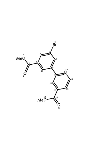 COC(=O)c1cc(Br)cc(-c2cc(C(=O)OC)ccn2)c1